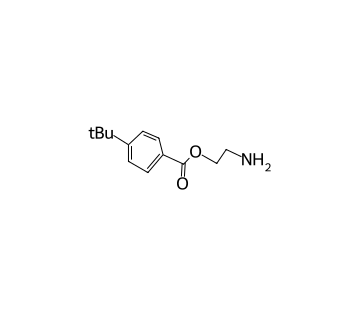 CC(C)(C)c1ccc(C(=O)OCCN)cc1